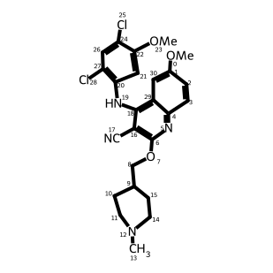 COc1ccc2nc(OCC3CCN(C)CC3)c(C#N)c(Nc3cc(OC)c(Cl)cc3Cl)c2c1